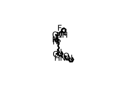 O=C(Cc1ccccn1)Nc1ccn(CCCCc2nnc(C(=O)NCc3ncccc3F)s2)c(=O)c1